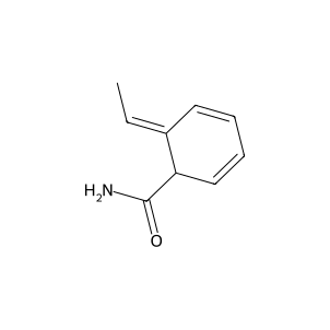 CC=C1C=CC=CC1C(N)=O